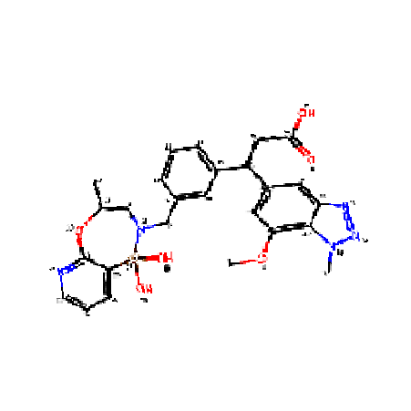 COc1cc(C(CC(=O)O)c2cccc(CN3CC(C)Oc4ncccc4S3(O)O)c2)cc2nnn(C)c12